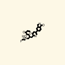 O=C1N=Cc2cc(-c3ccc(CC(CNCCF)c4occc(=O)c4O)nc3)ccc21